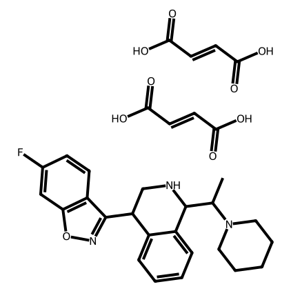 CC(C1NCC(c2noc3cc(F)ccc23)c2ccccc21)N1CCCCC1.O=C(O)C=CC(=O)O.O=C(O)C=CC(=O)O